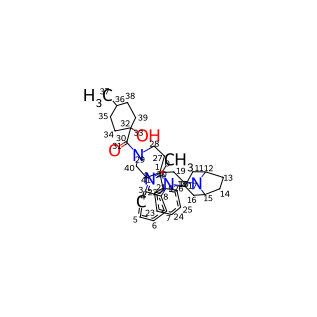 Cc1nc2ccccc2n1C1CC2CCC(C1)N2CCC1(c2ccccc2)CCN(C(=O)C2(O)CCC(C)CC2)CC1